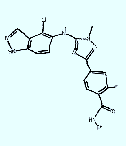 CCNC(=O)c1ccc(-c2nc(Nc3ccc4[nH]ncc4c3Cl)n(C)n2)cc1F